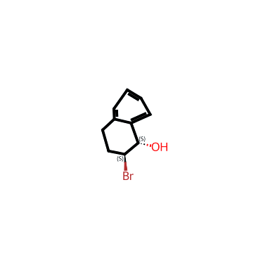 O[C@H]1c2ccccc2CC[C@@H]1Br